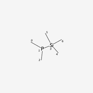 CP(C)[Si](C)(C)C